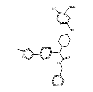 CNc1nc(N[C@H]2CC[C@H](N(C(=O)NCc3ccccc3)c3ccc(-c4cnn(C)c4)cn3)CC2)ncc1C#N